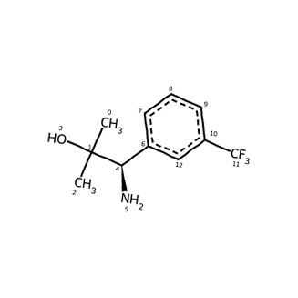 CC(C)(O)[C@H](N)c1cccc(C(F)(F)F)c1